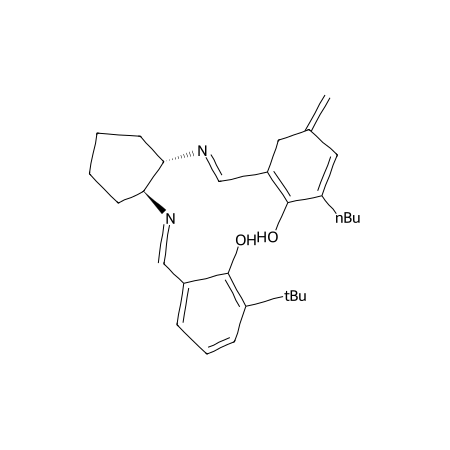 C=C1C=C(CCCC)C(O)=C(C=N[C@H]2CCCC[C@@H]2N=Cc2cccc(C(C)(C)C)c2O)C1